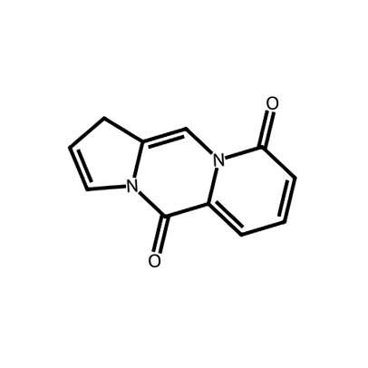 O=c1c2cccc(=O)n2cc2n1C=CC2